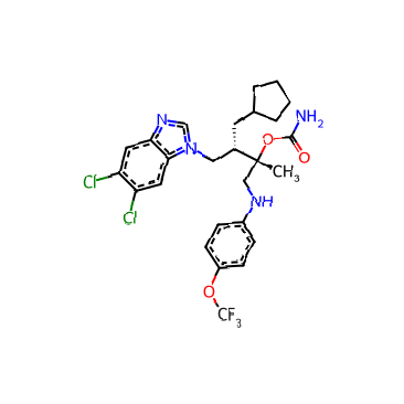 C[C@](CNc1ccc(OC(F)(F)F)cc1)(OC(N)=O)[C@@H](CC1CCCC1)Cn1cnc2cc(Cl)c(Cl)cc21